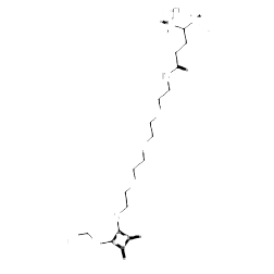 CCOc1c(NCCOCCOCCOCCNC(=O)CCC(P(=O)(O)O)P(=O)(O)O)c(=O)c1=O